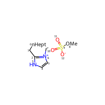 CCCCCCCCc1[nH]cc[n+]1C.COS(=O)(=O)[O-]